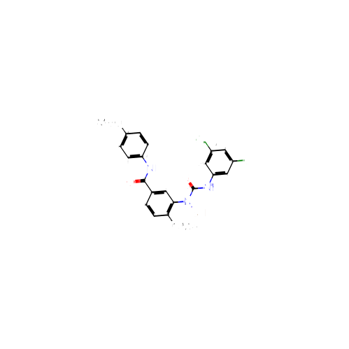 COc1ccc(NC(=O)c2ccc(OC)c(N(S)C(=O)Nc3cc(Cl)cc(Cl)c3)c2)cc1